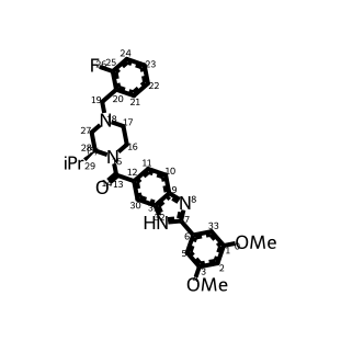 COc1cc(OC)cc(-c2nc3ccc(C(=O)N4CCN(Cc5ccccc5F)C[C@@H]4C(C)C)cc3[nH]2)c1